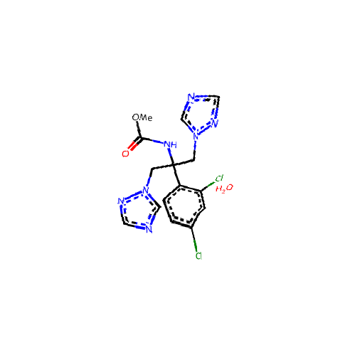 COC(=O)NC(Cn1cncn1)(Cn1cncn1)c1ccc(Cl)cc1Cl.O